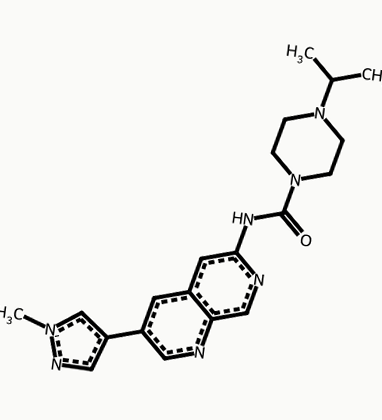 CC(C)N1CCN(C(=O)Nc2cc3cc(-c4cnn(C)c4)cnc3cn2)CC1